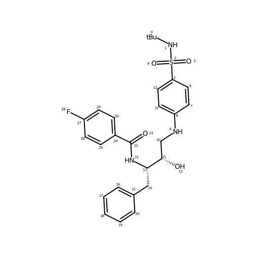 CC(C)(C)NS(=O)(=O)c1ccc(NC[C@H](O)[C@H](Cc2ccccc2)NC(=O)c2ccc(F)cc2)cc1